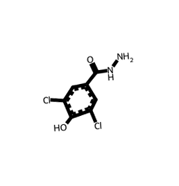 NNC(=O)c1cc(Cl)c(O)c(Cl)c1